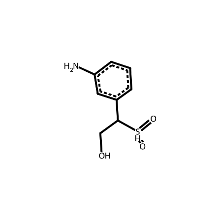 Nc1cccc(C(CO)[SH](=O)=O)c1